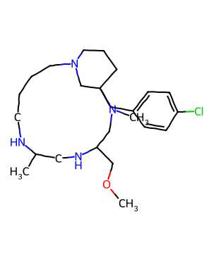 COCC1CN(C)C2(Cc3ccc(Cl)cc3)CCCN(CCCCNC(C)CN1)C2